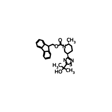 C[C@@H]1CC[C@@H](c2nsc(C(C)(C)O)n2)CN1C(=O)OCC1c2ccccc2-c2ccccc21